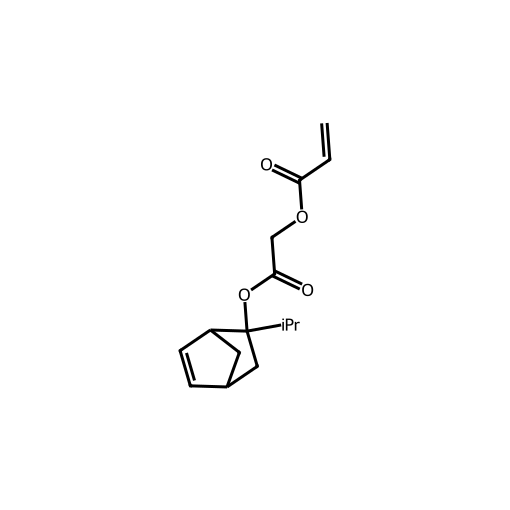 C=CC(=O)OCC(=O)OC1(C(C)C)CC2C=CC1C2